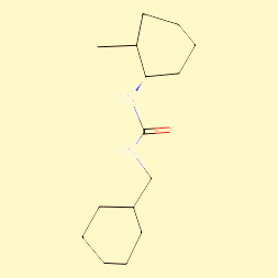 CC1CCCC[C@H]1NC(=O)NCC1CCCCC1